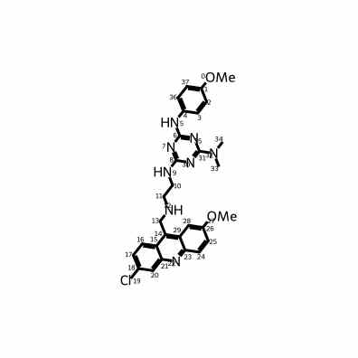 COc1ccc(Nc2nc(NCCNCc3c4ccc(Cl)cc4nc4ccc(OC)cc34)nc(N(C)C)n2)cc1